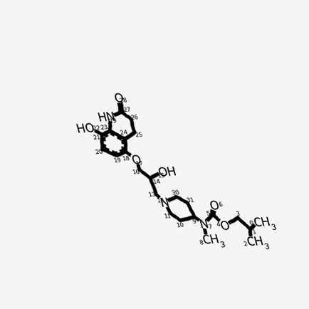 CC(C)COC(=O)N(C)C1CCN(CC(O)COc2ccc(O)c3c2CCC(=O)N3)CC1